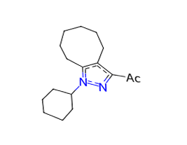 CC(=O)c1nn(C2CCCCC2)c2c1CCCCCC2